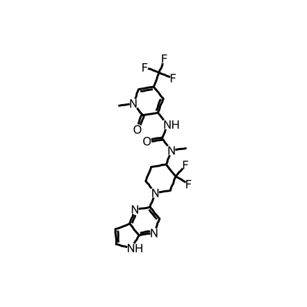 CN(C(=O)Nc1cc(C(F)(F)F)cn(C)c1=O)C1CCN(c2cnc3[nH]ccc3n2)CC1(F)F